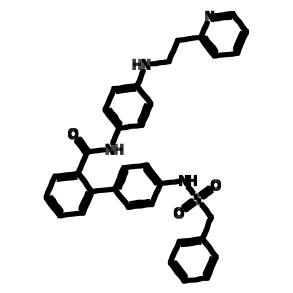 O=C(Nc1ccc(NCCc2ccccn2)cc1)c1ccccc1-c1ccc(NS(=O)(=O)Cc2ccccc2)cc1